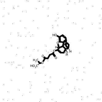 C[C@H](OC(=O)CCC(=O)OC1=CC[C@@]2(O)[C@@H]3CCC[C@@]24c2c(ccc(O)c2O[C@@H]14)C3)C(=O)O